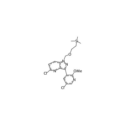 COc1ncc(Cl)cc1-c1nn(COCC[Si](C)(C)C)c2ccc(Cl)nc12